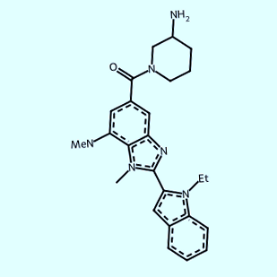 CCn1c(-c2nc3cc(C(=O)N4CCCC(N)C4)cc(NC)c3n2C)cc2ccccc21